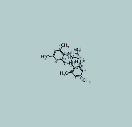 Cc1cc(C)c(NC(C)Nc2c(C)cc(C)cc2C)c(C)c1.Cl.Cl